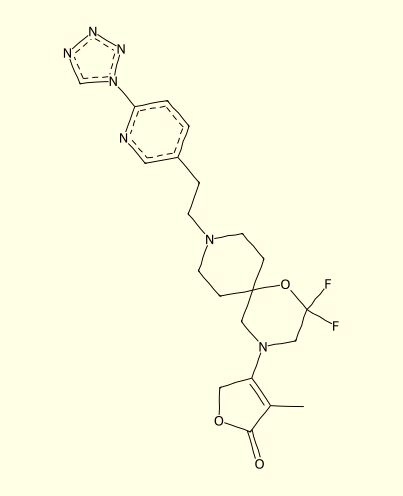 CC1=C(N2CC(F)(F)OC3(CCN(CCc4ccc(-n5cnnn5)nc4)CC3)C2)COC1=O